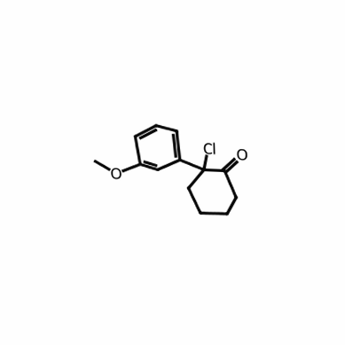 COc1cccc(C2(Cl)CCCCC2=O)c1